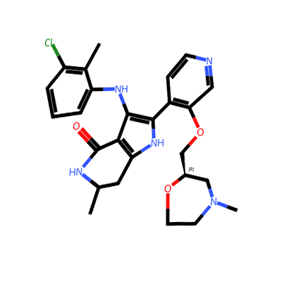 Cc1c(Cl)cccc1Nc1c(-c2ccncc2OC[C@H]2CN(C)CCO2)[nH]c2c1C(=O)NC(C)C2